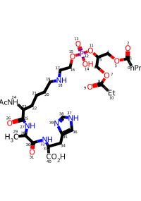 CCCC(=O)OCC(COC(=O)CC)OP(=O)(O)OCCNCCCCC(NC(C)=O)C(=O)NC(C)C(=O)NC(Cc1c[nH]cn1)C(=O)O